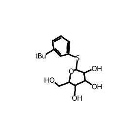 CC(C)(C)c1cccc(SC2OC(CO)C(O)C(O)C2O)c1